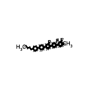 CCCCCC1CCC(C2CCC(c3ccc(-c4ccc(-c5ccc(C)c(F)c5F)cc4)c(F)c3)CC2)CC1